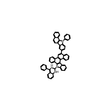 C1=CC2=C(c3ccccc3)NC(n3c4ccccc4c4c5c6ccccc6c(-c6ccc7c(c6)c6ccc8ccccc8c6n7-c6ccccc6)cc5c5ccccc5c43)NC2C=C1